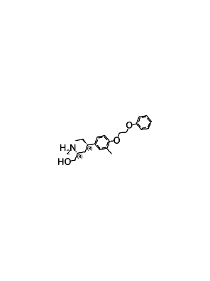 CC[C@H](C[C@@H](N)CO)c1ccc(OCCOc2ccccc2)c(C)c1